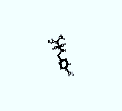 Cc1ccc(CNS(=O)(=O)C(C)C)cc1